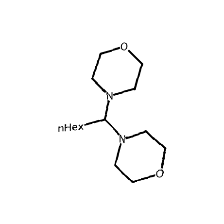 CCCCCCC(N1CCOCC1)N1CCOCC1